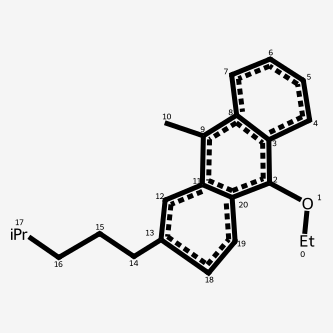 CCOc1c2ccccc2c(C)c2cc(CCCC(C)C)ccc12